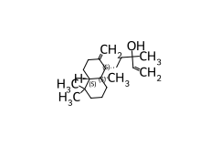 C=CC(C)(O)CC[C@H]1C(=C)CC[C@H]2C(C)(C)CCC[C@]12C